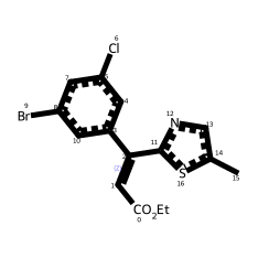 CCOC(=O)/C=C(/c1cc(Cl)cc(Br)c1)c1ncc(C)s1